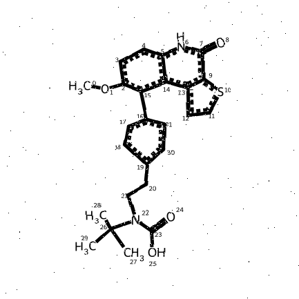 COc1ccc2[nH]c(=O)c3sccc3c2c1-c1ccc(CCN(C(=O)O)C(C)(C)C)cc1